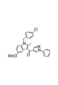 COc1ccc2c(c1)c(C(=O)c1cnn(-c3ccccc3)c1)c(C)n2Cc1ccc(Cl)cc1